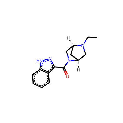 CCN1C[C@@H]2C[C@H]1CN2C(=O)c1n[nH]c2ccccc12